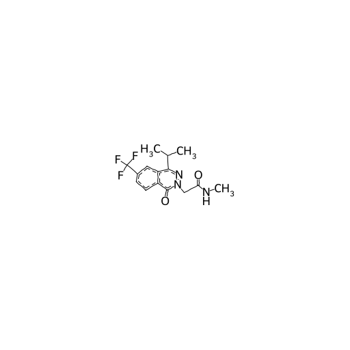 CNC(=O)Cn1nc(C(C)C)c2cc(C(F)(F)F)ccc2c1=O